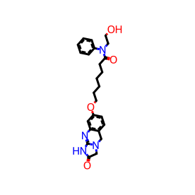 O=C1CN2Cc3ccc(OCCCCCCC(=O)N(CCO)c4ccccc4)cc3N=C2N1